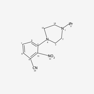 CC(C)N1CCN(c2cccc(C#N)c2[N+](=O)[O-])CC1